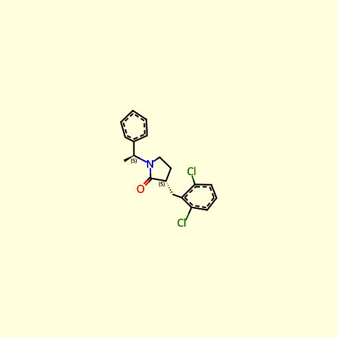 C[C@@H](c1ccccc1)N1CC[C@H](Cc2c(Cl)cccc2Cl)C1=O